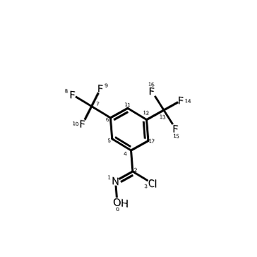 O/N=C(\Cl)c1cc(C(F)(F)F)cc(C(F)(F)F)c1